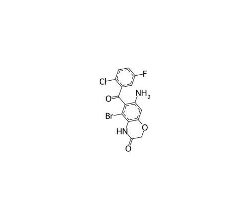 Nc1cc2c(c(Br)c1C(=O)c1cc(F)ccc1Cl)NC(=O)CO2